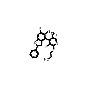 Cc1cnc(OCCO)c(F)c1-c1c(Cl)c(F)cc2c1CC(c1ccccc1)O2